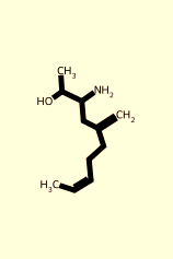 C=C(CC/C=C\C)CC(N)C(C)O